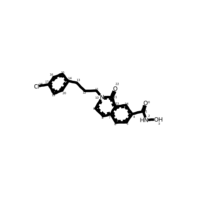 O=C(NO)c1ccc2ccn(CCCc3ccc(Cl)cc3)c(=O)c2c1